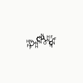 Cn1cc(NC(=O)c2cnn3ccc(NC4CNCC(F)(F)C4)nc23)c(C(F)F)n1